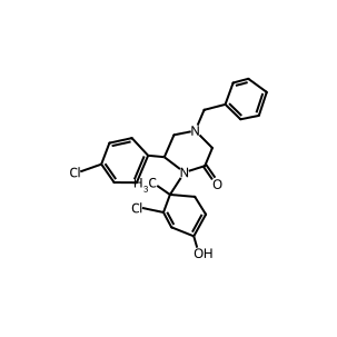 CC1(N2C(=O)CN(Cc3ccccc3)CC2c2ccc(Cl)cc2)CC=C(O)C=C1Cl